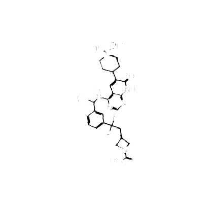 CC(Nc1ncnc2[nH]c(=O)c(C3CCS(O)(O)CC3)cc12)c1cccc(C(F)(F)CC2CN(C(=O)O)C2)c1